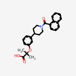 CC(C)(Oc1cccc(C2CCN(C(=O)c3cccc4ccccc34)CC2)c1)C(=O)O